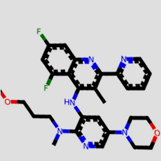 COCCCN(C)c1ncc(N2CCOCC2)cc1Nc1c(C)c(-c2ccccn2)nc2cc(F)cc(F)c12